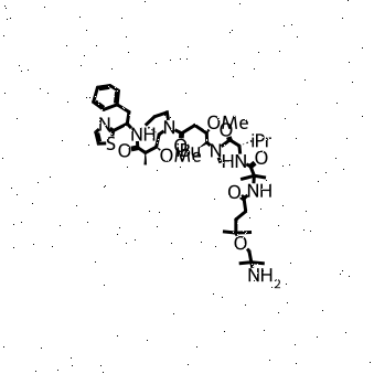 CC[C@H](C)C([C@@H](CC(=O)N1CCC[C@H]1[C@H](OC)[C@@H](C)C(=O)NC(Cc1ccccc1)c1nccs1)OC)N(C)C(=O)[C@@H](NC(=O)C(C)(C)NC(=O)CCC(C)(C)OCC(C)(C)N)C(C)C